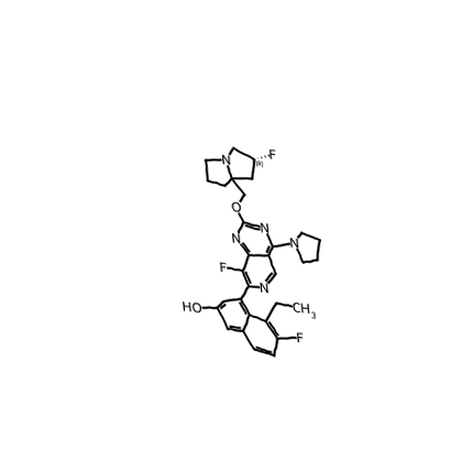 CCc1c(F)ccc2cc(O)cc(-c3ncc4c(N5CCCC5)nc(OCC56CCCN5C[C@H](F)C6)nc4c3F)c12